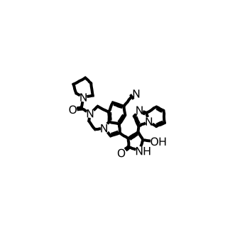 N#Cc1cc2c3c(c1)c(C1=C(c4cnc5ccccn45)C(O)NC1=O)cn3CCN(C(=O)N1CCCCC1)C2